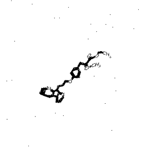 CCOC(=O)C(Cc1ccc(OCCCC2c3ncccc3-c3cccnc32)cc1)OC